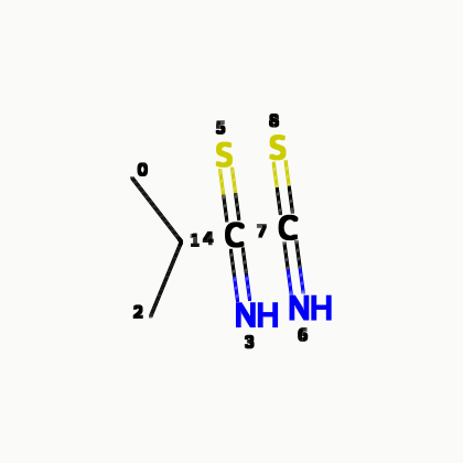 CCC.N=C=S.N=C=S